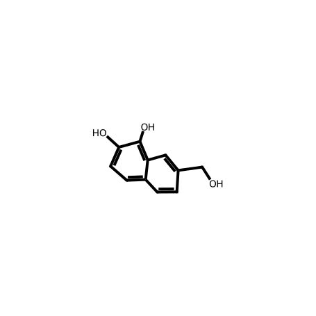 OCc1ccc2ccc(O)c(O)c2c1